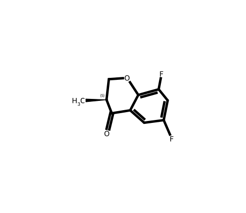 C[C@H]1COc2c(F)cc(F)cc2C1=O